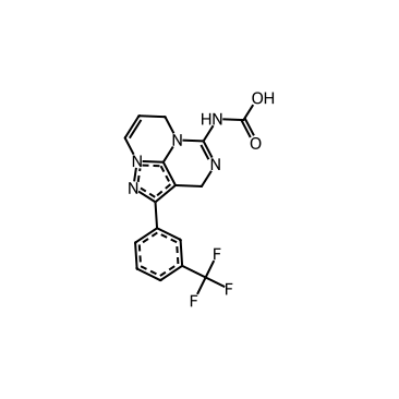 O=C(O)NC1=NCc2c(-c3cccc(C(F)(F)F)c3)nn3c2N1CC=C3